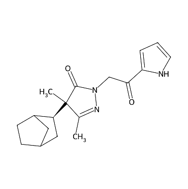 CC1=NN(CC(=O)c2ccc[nH]2)C(=O)C1(C)[C@H]1CC2CCC1C2